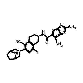 Cc1nc2sc(C(=O)N[C@@H]3CCc4c(C#N)c(N5CC6CCC(C5)N6)cc(F)c4C3)c(N)c2s1